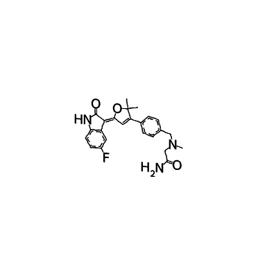 CN(CC(N)=O)Cc1ccc(C2=CC(=C3C(=O)Nc4ccc(F)cc43)OC2(C)C)cc1